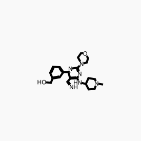 CN1CCC(Nc2nc(N3CCOCC3)nc(-c3cccc(CO)c3)c2C=N)CC1